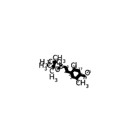 Cc1cc(/C=C/B2OC(C)(C)C(C)(C)O2)c(Cl)cc1C=O